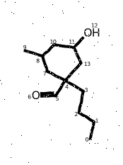 CCCCC1(C=O)CC(C)CC(O)C1